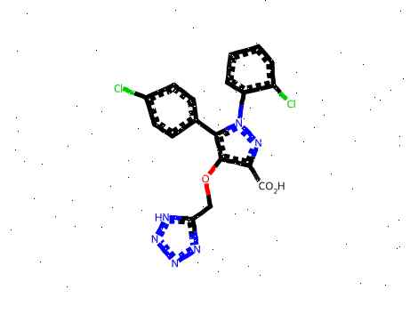 O=C(O)c1nn(-c2ccccc2Cl)c(-c2ccc(Cl)cc2)c1OCc1nnn[nH]1